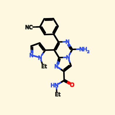 CCNC(=O)c1cn2c(N)nc(-c3cccc(C#N)c3)c(-c3ccnn3CC)c2n1